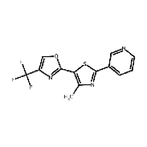 Cc1nc(-c2cccnc2)sc1-c1nc(C(F)(F)F)co1